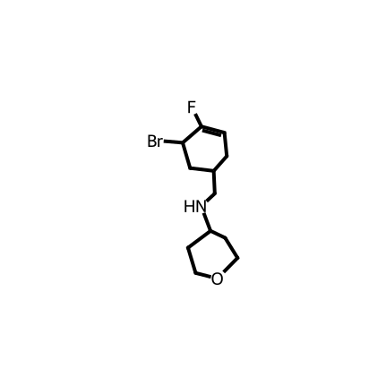 FC1=CCC(CNC2CCOCC2)CC1Br